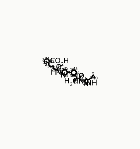 CC(C(=O)Nc1cc(C2CC2)[nH]n1)c1cccc(-c2ccc(NC(=O)/C=C/CN3CCC[C@H]3C(=O)O)nc2)c1